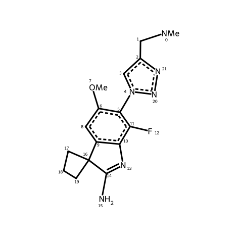 CNCc1cn(-c2c(OC)cc3c(c2F)N=C(N)C32CCC2)nn1